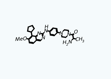 COc1ccc2cnc(Nc3ccc(N4CCN(C(=O)C(C)N)CC4)cc3)nc2c1C1CCCC1